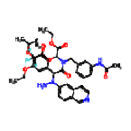 CCOC(=O)C(OC(=O)C(F)(F)F)N(Cc1cccc(NC(C)=O)c1)C(=O)C(c1ccc(OC(C)C)c(OCC)c1)N(N)c1ccc2cnccc2c1